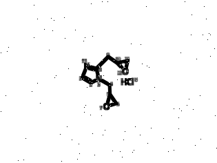 Cl.c1cn(CC2CO2)c(CC2CO2)n1